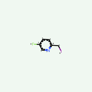 Fc1ccc(CI)nc1